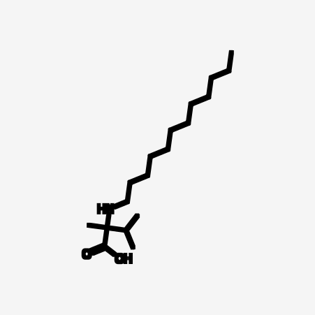 CCCCCCCCCCCCNC(C)(C(=O)O)C(C)C